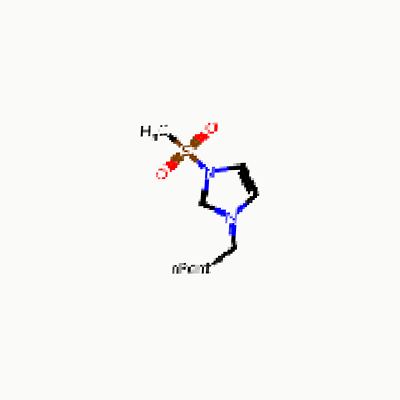 CCCCCCN1C=CN(S(C)(=O)=O)C1